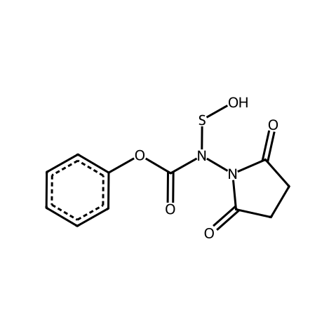 O=C(Oc1ccccc1)N(SO)N1C(=O)CCC1=O